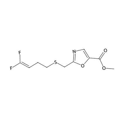 COC(=O)c1cnc(CSCCC=C(F)F)o1